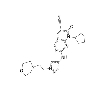 N#Cc1cc2cnc(Nc3cnn(CCN4CCOCC4)c3)nc2n(C2CCCC2)c1=O